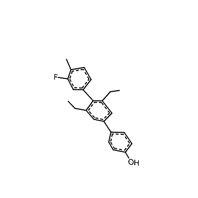 CCc1cc(-c2ccc(O)cc2)cc(CC)c1-c1ccc(C)c(F)c1